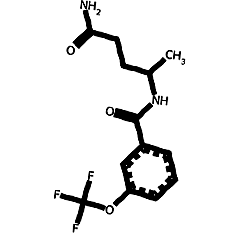 CC(CCC(N)=O)NC(=O)c1cccc(OC(F)(F)F)c1